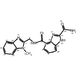 Cn1c(CNC(=O)c2cccc3[nH]c(C(N)=O)nc23)nc2ccccc21